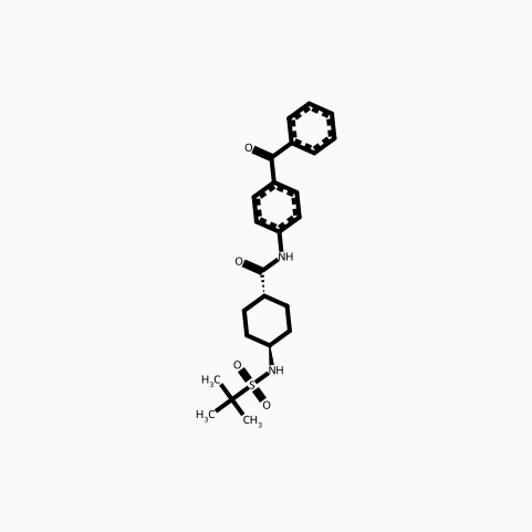 CC(C)(C)S(=O)(=O)N[C@H]1CC[C@H](C(=O)Nc2ccc(C(=O)c3ccccc3)cc2)CC1